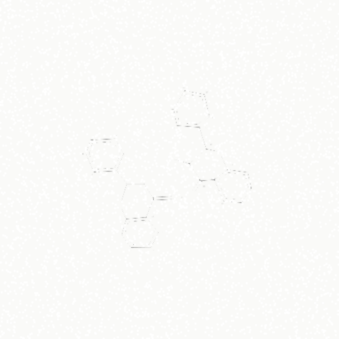 O=C1CC(c2ccccc2)Oc2ccccc21.O=C1c2ccccc2OC(c2ccccc2)C1O